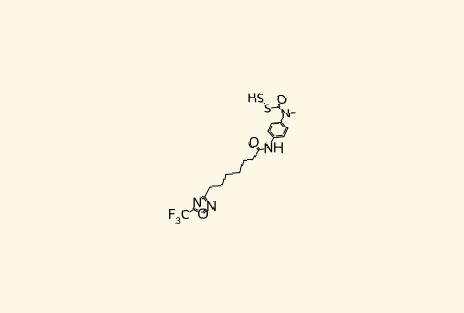 CN(C(=O)SS)c1ccc(NC(=O)CCCCCCc2noc(C(F)(F)F)n2)cc1